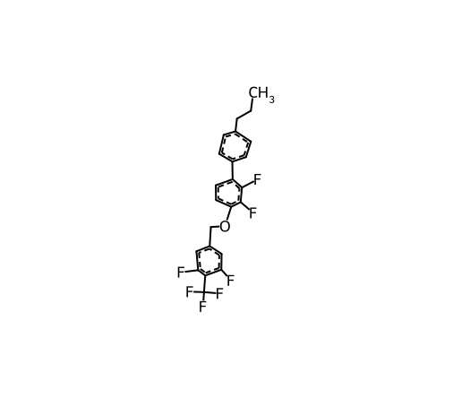 CCCc1ccc(-c2ccc(OCc3cc(F)c(C(F)(F)F)c(F)c3)c(F)c2F)cc1